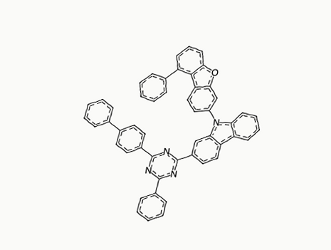 c1ccc(-c2ccc(-c3nc(-c4ccccc4)nc(-c4ccc5c6ccccc6n(-c6ccc7c(c6)oc6cccc(-c8ccccc8)c67)c5c4)n3)cc2)cc1